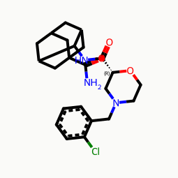 NC(=O)C12CC3CC(C1)C(NC(=O)[C@H]1CN(Cc4ccccc4Cl)CCO1)C(C3)C2